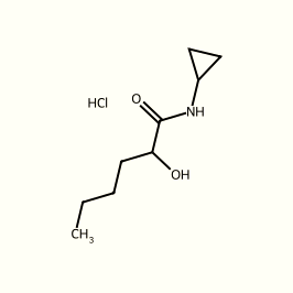 CCCCC(O)C(=O)NC1CC1.Cl